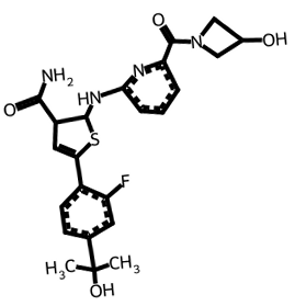 CC(C)(O)c1ccc(C2=CC(C(N)=O)C(Nc3cccc(C(=O)N4CC(O)C4)n3)S2)c(F)c1